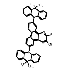 CC1(C)c2ccccc2N(c2ccc3c4ccc(N5c6ccccc6C(C)(C)c6ccccc65)cc4c4nc(C#N)c(F)nc4c3c2)c2ccccc21